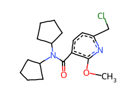 COc1nc(CCl)ccc1C(=O)N(C1CCCC1)C1CCCC1